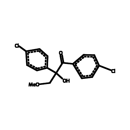 COCC(O)(C(=O)c1ccc(Cl)cc1)c1ccc(Cl)cc1